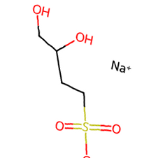 O=S(=O)([O-])CCC(O)CO.[Na+]